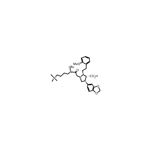 CCCCN(CCCC[N+](C)(C)C)C(=O)CN1C[C@H](c2ccc3c(c2)OCO3)[C@@H](C(=O)O)[C@@H]1CCc1ccccc1OC